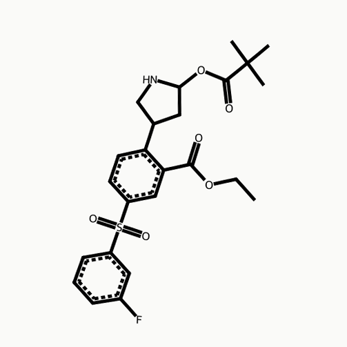 CCOC(=O)c1cc(S(=O)(=O)c2cccc(F)c2)ccc1C1CNC(OC(=O)C(C)(C)C)C1